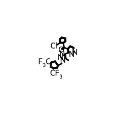 Cc1c(-c2nnccc2C(=O)c2ccccc2Cl)nnn1Cc1cc(C(F)(F)F)cc(C(F)(F)F)c1